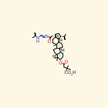 C=C(C)NCCNC(=O)C[C@]12CC[C@@H](C(=C)C)[C@@H]1[C@H]1CC[C@@H]3[C@@]4(C)CC[C@H](OC(=O)CC(C)(C)C(=O)O)C(C)(C)[C@@H]4CC[C@@]3(C)[C@]1(C)CC2